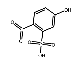 O=I(=O)c1ccc(O)cc1S(=O)(=O)O